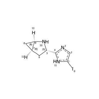 Ic1cnc([C@@H]2C[C@H]3C[C@H]3N2)[nH]1